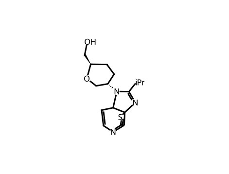 CC(C)C1=NC23SC=CC2=NC=CC3N1[C@H]1CC[C@H](CO)OC1